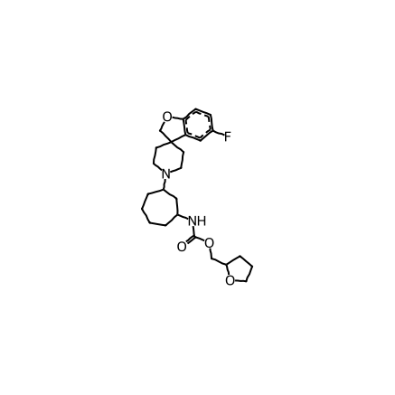 O=C(NC1CCCCC(N2CCC3(CC2)COc2ccc(F)cc23)C1)OCC1CCCO1